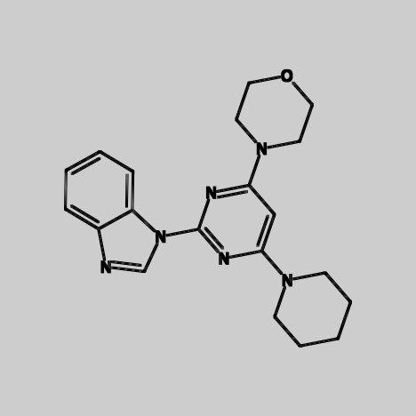 c1ccc2c(c1)ncn2-c1nc(N2CCCCC2)cc(N2CCOCC2)n1